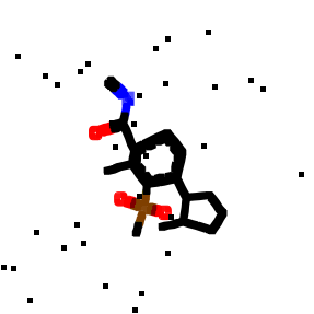 C=NC(=O)c1ccc(C2CCCC2C)c(S(C)(=O)=O)c1C